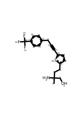 CC(N)(CO)CCc1ccc(C#CCc2ccc(C(F)(F)F)cc2)s1